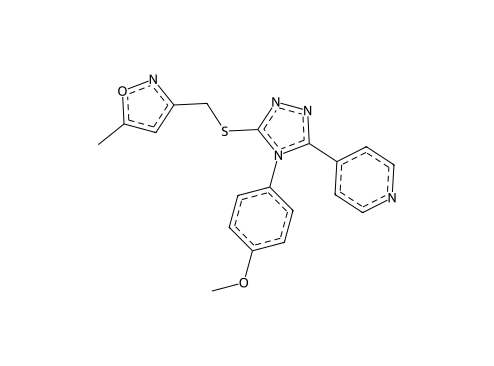 COc1ccc(-n2c(SCc3cc(C)on3)nnc2-c2ccncc2)cc1